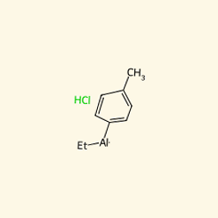 C[CH2][Al][c]1ccc(C)cc1.Cl